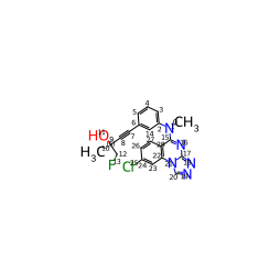 CN(c1cccc(C#C[C@](C)(O)CF)c1)c1nc2nncn2c2cc(Cl)ccc12